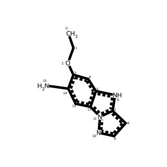 CCOc1cc2[nH]c3ccnn3c2cc1N